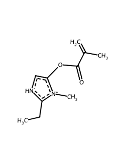 C=C(C)C(=O)Oc1c[nH]c(CC)[n+]1C